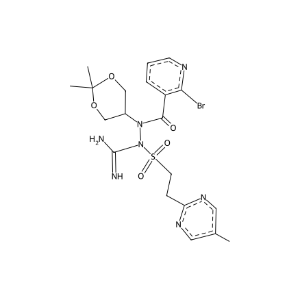 Cc1cnc(CCS(=O)(=O)N(C(=N)N)N(C(=O)c2cccnc2Br)C2COC(C)(C)OC2)nc1